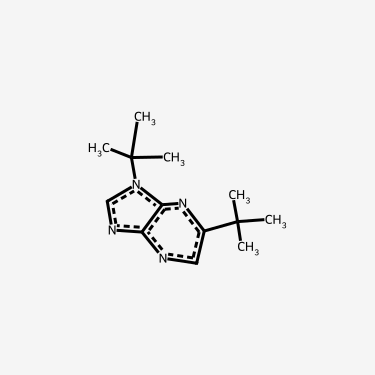 CC(C)(C)c1cnc2ncn(C(C)(C)C)c2n1